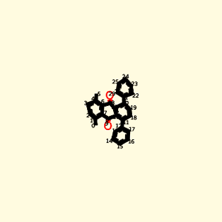 Cc1ccc(C)c2c1C(=O)c1c(-c3ccccc3)ccc(-c3ccccc3)c1C2=O